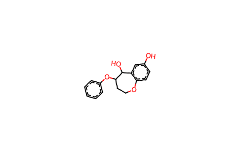 Oc1ccc2c(c1)C(O)C(Oc1ccccc1)CCO2